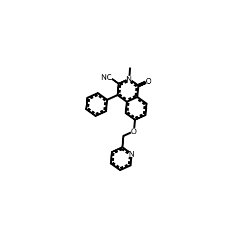 Cn1c(C#N)c(-c2ccccc2)c2cc(OCc3ccccn3)ccc2c1=O